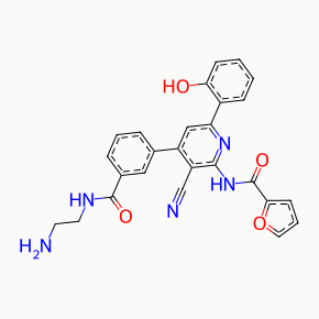 N#Cc1c(-c2cccc(C(=O)NCCN)c2)cc(-c2ccccc2O)nc1NC(=O)c1ccco1